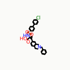 O=C(O)C1(NS(=O)(=O)c2ccc(-c3ccc(Cl)cc3)cc2)CC1c1ccc2c(c1)CN(Cc1ccccc1)CC2